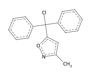 Cc1cc(C(Cl)(c2ccccc2)c2ccccc2)on1